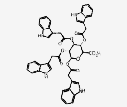 O=C(Cc1c[nH]c2ccccc12)O[C@@H]1O[C@H](C(=O)O)[C@@H](OC(=O)Cc2c[nH]c3ccccc23)[C@H](OC(=O)Cc2c[nH]c3ccccc23)[C@H]1OC(=O)Cc1c[nH]c2ccccc12